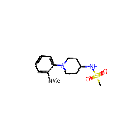 CNc1ccccc1N1CCC(NS(C)(=O)=O)CC1